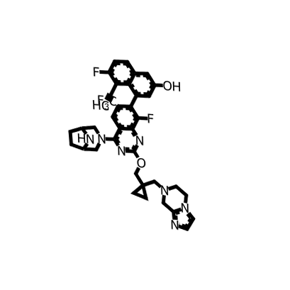 C#Cc1c(F)ccc2cc(O)cc(-c3c(C(F)(F)F)cc4c(N5CC6CCC(C5)N6)nc(OCC5(CN6CCn7ccnc7C6)CC5)nc4c3F)c12